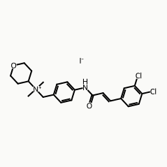 C[N+](C)(Cc1ccc(NC(=O)C=Cc2ccc(Cl)c(Cl)c2)cc1)C1CCOCC1.[I-]